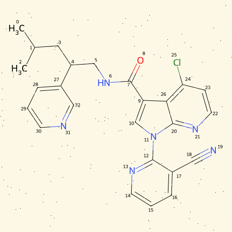 CC(C)CC(CNC(=O)c1cn(-c2ncccc2C#N)c2nccc(Cl)c12)c1cccnc1